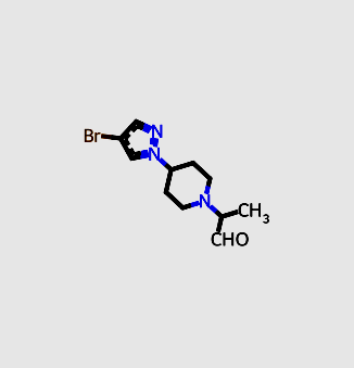 CC(C=O)N1CCC(n2cc(Br)cn2)CC1